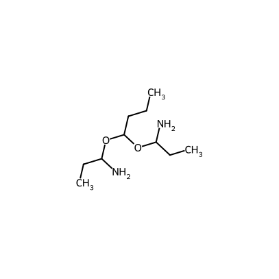 CCCC(OC(N)CC)OC(N)CC